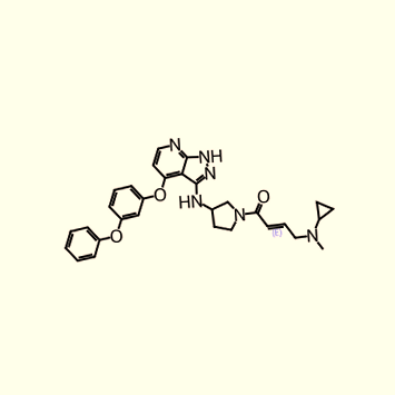 CN(C/C=C/C(=O)N1CCC(Nc2n[nH]c3nccc(Oc4cccc(Oc5ccccc5)c4)c23)C1)C1CC1